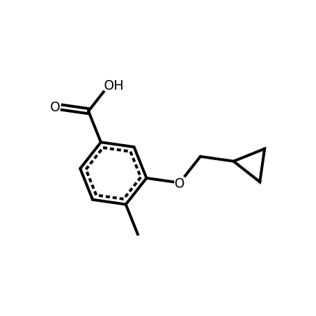 Cc1ccc(C(=O)O)cc1OCC1CC1